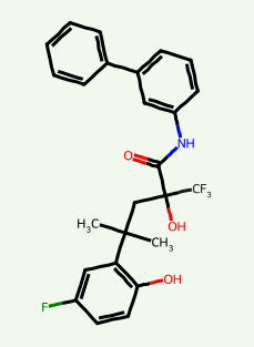 CC(C)(CC(O)(C(=O)Nc1cccc(-c2ccccc2)c1)C(F)(F)F)c1cc(F)ccc1O